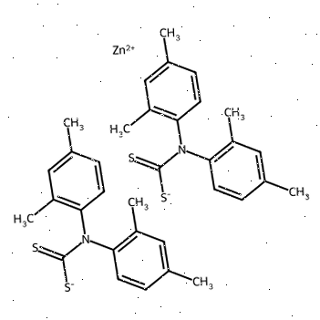 Cc1ccc(N(C(=S)[S-])c2ccc(C)cc2C)c(C)c1.Cc1ccc(N(C(=S)[S-])c2ccc(C)cc2C)c(C)c1.[Zn+2]